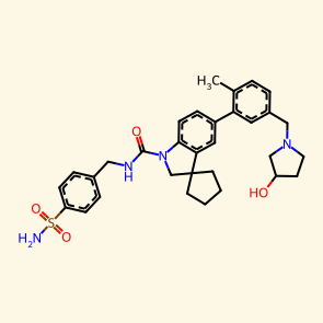 Cc1ccc(CN2CCC(O)C2)cc1-c1ccc2c(c1)C1(CCCC1)CN2C(=O)NCc1ccc(S(N)(=O)=O)cc1